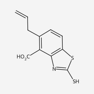 C=CCc1ccc2sc(S)nc2c1C(=O)O